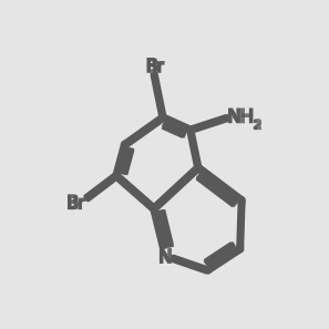 Nc1c(Br)cc(Br)c2ncccc12